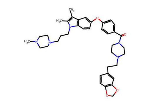 Cc1c(C)n(CCCN2CCN(C)CC2)c2ccc(Oc3ccc(C(=O)N4CCN(CCc5ccc6c(c5)OCO6)CC4)cc3)cc12